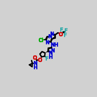 CC1(NC(=O)O[C@@H]2CC[C@H](c3cc(Nc4nc(Cl)cn5nc(COC(F)(F)F)cc45)n[nH]3)[C@H]2F)CC1